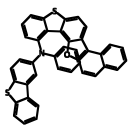 c1ccc(N(c2ccc3sc4ccccc4c3c2)c2cccc3sc4ccc5c(oc6ccc7ccccc7c65)c4c23)cc1